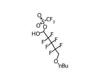 CCCCOCC(F)(F)C(F)(F)C(F)(F)C(O)OS(=O)(=O)C(F)(F)F